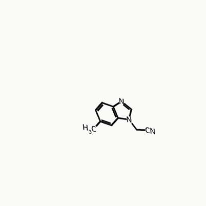 Cc1ccc2ncn(CC#N)c2c1